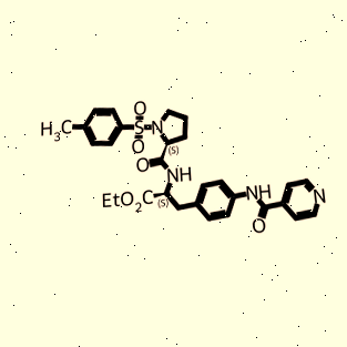 CCOC(=O)[C@H](Cc1ccc(NC(=O)c2ccncc2)cc1)NC(=O)[C@@H]1CCCN1S(=O)(=O)c1ccc(C)cc1